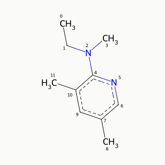 CCN(C)c1ncc(C)cc1C